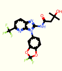 CC(C)(O)CC(=O)Nc1nc2ccc(C(F)(F)F)nc2n1-c1ccc2c(c1)OC(F)(F)O2